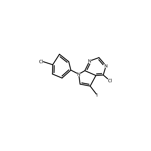 Clc1ccc(-n2cc(I)c3c(Cl)ncnc32)cc1